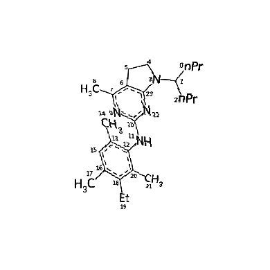 CCCC(CCC)N1CCc2c(C)nc(Nc3c(C)cc(C)c(CC)c3C)nc21